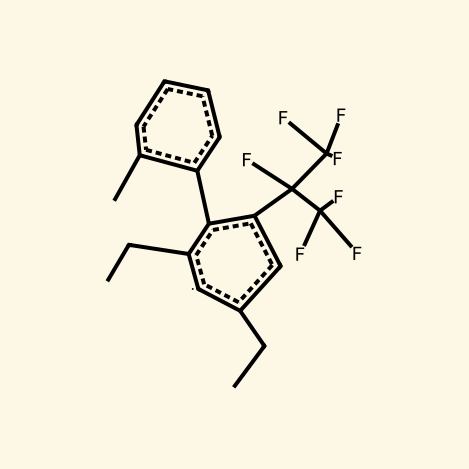 CCc1[c]c(CC)c(-c2ccccc2C)c(C(F)(C(F)(F)F)C(F)(F)F)c1